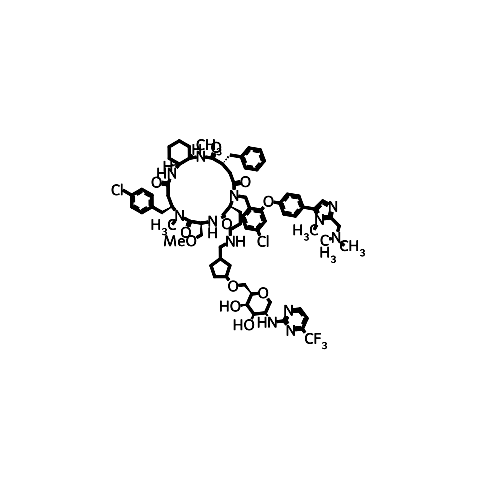 COC[C@@H]1NC(=O)[C@H](CCCNCC2CCC(OC[C@H]3OC[C@H](Nc4nccc(C(F)(F)F)n4)[C@@H](O)[C@H]3O)C2)N(Cc2ccc(Cl)cc2Oc2ccc(-c3cnc(CN(C)C)n3C)cc2)C(=O)C[C@@H](Cc2ccccc2)C(=O)N(C)[C@H]2CCCC[C@@H]2NC(=O)C[C@H](Cc2ccc(Cl)cc2)N(C)C1=O